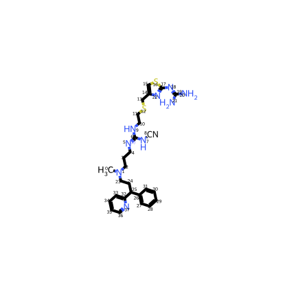 CN(CCC/N=C(\NC#N)NCCSCc1csc(N=C(N)N)n1)CCC(c1ccccc1)c1ccccn1